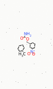 Cc1ccccc1.NC(=O)OCc1cccc([N+](=O)[O-])c1